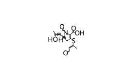 CC(=CC=O)SC1=C(C(=O)O)N2C(=O)[C@@H]([C@H](C)O)[C@H]2C1